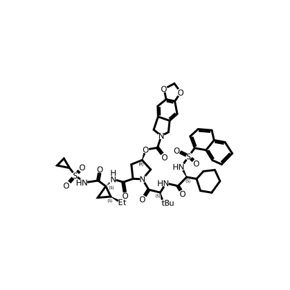 CC[C@H]1C[C@@]1(NC(=O)C1C[C@@H](OC(=O)N2Cc3cc4c(cc3C2)OCO4)CN1C(=O)[C@@H](NC(=O)[C@@H](NS(=O)(=O)c1cccc2ccccc12)C1CCCCC1)C(C)(C)C)C(=O)NS(=O)(=O)C1CC1